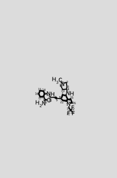 CN1CCC(Nc2cc(C#CCNc3ccccc3C(N)=O)cc3c2ccn3CC(F)(F)F)CC1